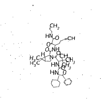 C#CCCC(NC(=O)[C@@H]1[C@@H]2C(CN1C(=O)[C@@H](NC(=O)N[C@H](C(=O)c1ccccc1)C1CCCCC1)C(C)(C)C)C2(C)C)C(=O)C(=O)NCC=C